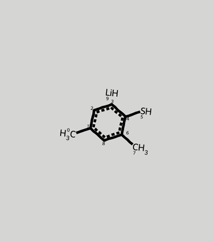 Cc1ccc(S)c(C)c1.[LiH]